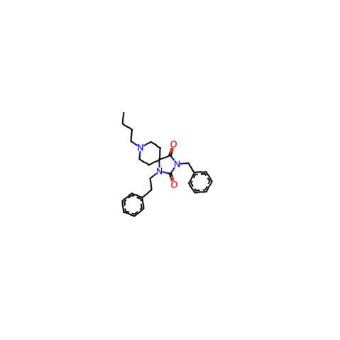 CCCCN1CCC2(CC1)C(=O)N(Cc1ccccc1)C(=O)N2CCc1ccccc1